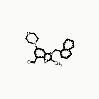 Cc1nc2c(C=O)cc(N3CCOCC3)cc2n1Cc1cccc2ccccc12